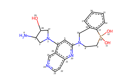 NC1CN(c2cc(N3CCS(O)(O)c4ccccc4C3)nc3ccncc23)CC1O